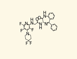 O=C(CNc1nc(F)c(F)c(N2CCC(F)(F)CC2)c1F)N[C@H]1N=C(c2ccccc2)c2ccccc2NC1=O